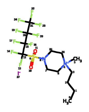 CCCC[N+]1(C)CCN(S(=O)(=O)C(F)(F)C(F)(F)C(F)(F)C(F)(F)F)CC1.[I-]